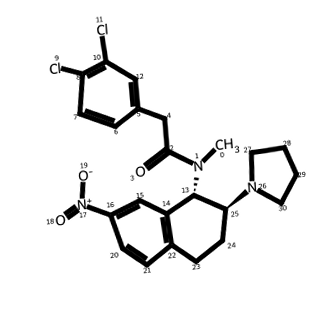 CN(C(=O)Cc1ccc(Cl)c(Cl)c1)[C@H]1c2cc([N+](=O)[O-])ccc2CC[C@@H]1N1CCCC1